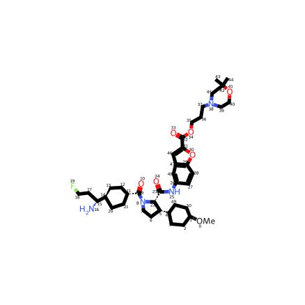 COC1CCC([C@@H]2CCN(C(=O)[C@H]3CC[C@H]([C@H](N)CCF)CC3)[C@@H]2C(=O)Nc2ccc3oc(C(=O)OCCCN4CCOC(C)(C)C4)cc3c2)CC1